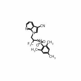 Cc1cc(C)c(S(=O)(=O)NC(Cn2cc(C#N)c3cccnc32)C(F)(F)F)c(C)c1